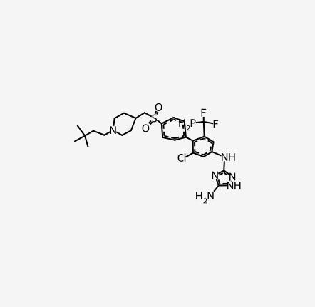 CC(C)(C)CCN1CCC(CS(=O)(=O)c2ccc(-c3c(Cl)cc(Nc4n[nH]c(N)n4)cc3C(F)(F)P)cc2)CC1